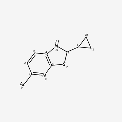 CC(=O)c1ccc2c(n1)SC(C1CC1)N2